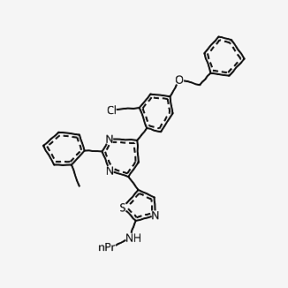 CCCNc1ncc(-c2cc(-c3ccc(OCc4ccccc4)cc3Cl)nc(-c3ccccc3C)n2)s1